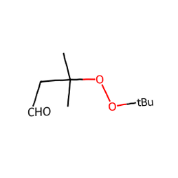 CC(C)(C)OOC(C)(C)CC=O